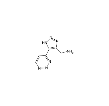 NCc1nn[nH]c1-c1ccnnn1